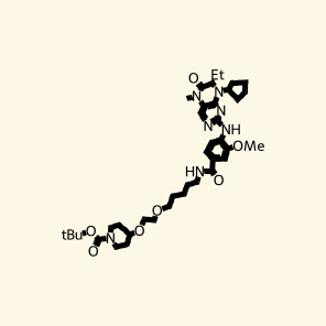 CC[C@@H]1C(=O)N(C)c2cnc(Nc3ccc(C(=O)NCCCCCOCCOC4CCN(C(=O)OC(C)(C)C)CC4)cc3OC)nc2N1C1CCCC1